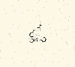 O=C(NC[C@@H](O)C(F)(F)F)C1C=CC2=C(N1)N(C(=O)Nc1ccccn1)[C@H]1CCN2C1